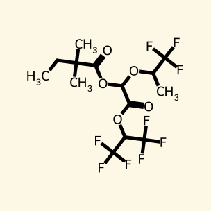 CCC(C)(C)C(=O)OC(OC(C)C(F)(F)F)C(=O)OC(C(F)(F)F)C(F)(F)F